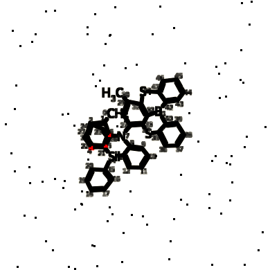 Cc1ccccc1N(c1ccccc1[SiH](c1ccccc1)c1ccccc1)c1cc(C)c2c3c1Sc1ccccc1B3c1ccccc1S2